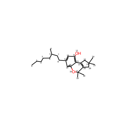 CCCCCC(C)CCc1cc(O)c2c(c1)OC(C)(C)C1=C2CC(C)(C)C1